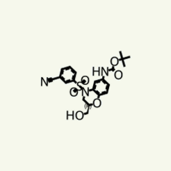 CC(C)(C)OC(=O)Nc1ccc2c(c1)N(S(=O)(=O)c1cccc(C#N)c1)C[C@H](CO)O2